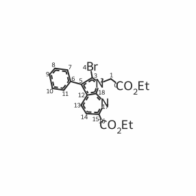 CCOC(=O)Cn1c(Br)c(-c2ccccc2)c2ccc(C(=O)OCC)nc21